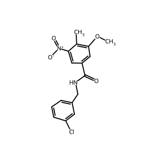 COc1cc(C(=O)NCc2cccc(Cl)c2)cc([N+](=O)[O-])c1C